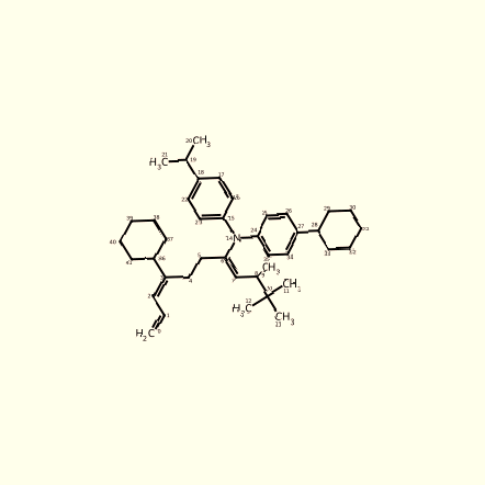 C=C/C=C(\CC/C(=C/C(C)C(C)(C)C)N(c1ccc(C(C)C)cc1)c1ccc(C2CCCCC2)cc1)C1CCCCC1